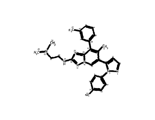 Cc1c(-c2ccnn2-c2ccc(C#N)cc2)cn2nc(NCCN(C)C)nc2c1-c1cccc(C(F)(F)F)c1